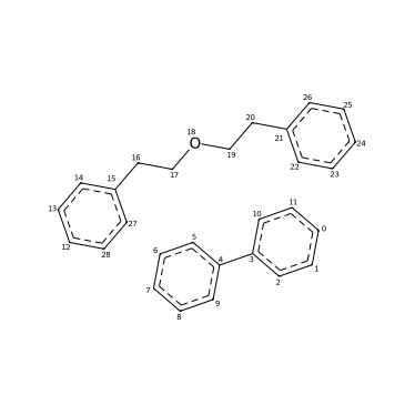 c1ccc(-c2ccccc2)cc1.c1ccc(CCOCCc2ccccc2)cc1